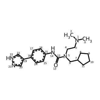 CN(C)CCN(CC1CCCC1)C(=O)Nc1ccc(-c2cn[nH]c2)cc1